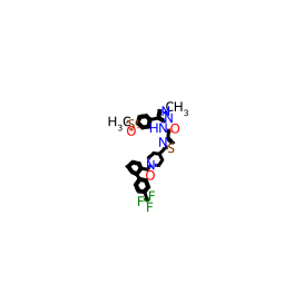 Cn1cc(-c2ccc([S+](C)[O-])cc2)c(NC(=O)c2csc(C3CCN(C(=O)c4ccccc4-c4ccc(C(F)(F)F)cc4)CC3)n2)n1